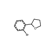 Brc1ccccc1[C]1CCCO1